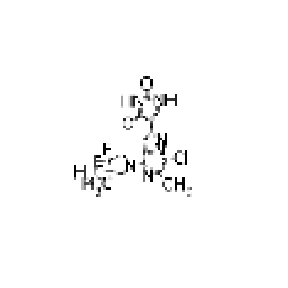 Cc1nc(N2CC(C)(C)C(F)(F)C2)c2cc(-c3c[nH]c(=O)[nH]c3=O)nn2c1Cl